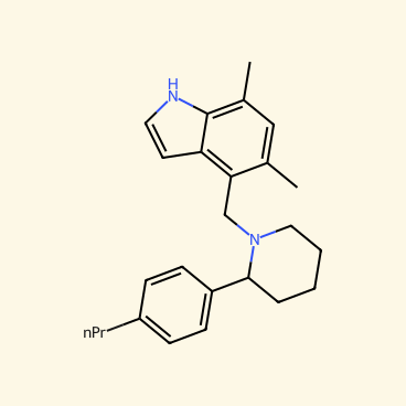 CCCc1ccc(C2CCCCN2Cc2c(C)cc(C)c3[nH]ccc23)cc1